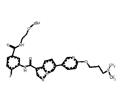 CN(C)CCCOc1ccc(-c2ccc3c(C(=O)Nc4cc(C(=O)NCCOC(C)(C)C)ccc4F)cnn3c2)cn1